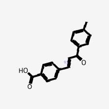 Cc1ccc(C(=O)/C=C/c2ccc(C(=O)O)cc2)cc1